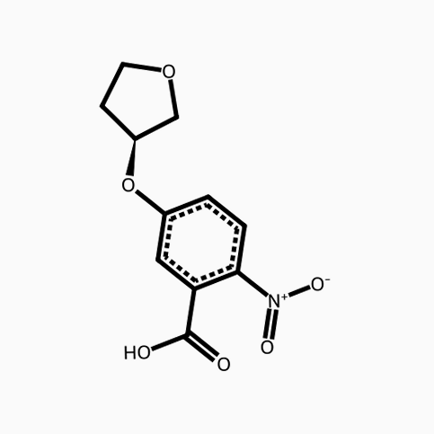 O=C(O)c1cc(O[C@H]2CCOC2)ccc1[N+](=O)[O-]